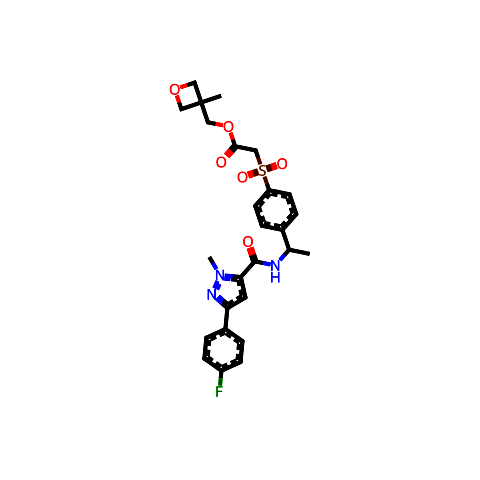 CC(NC(=O)c1cc(-c2ccc(F)cc2)nn1C)c1ccc(S(=O)(=O)CC(=O)OCC2(C)COC2)cc1